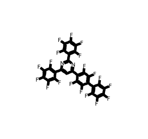 Fc1c(F)c(F)c(-c2cc(-c3c(F)c(F)c(-c4c(F)c(F)c(F)c(F)c4F)c(F)c3F)nc(-c3c(F)c(F)c(F)c(F)c3F)n2)c(F)c1F